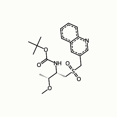 CO[C@H](C)[C@@H](CS(=O)(=O)Cc1cnc2ccccc2c1)NC(=O)OC(C)(C)C